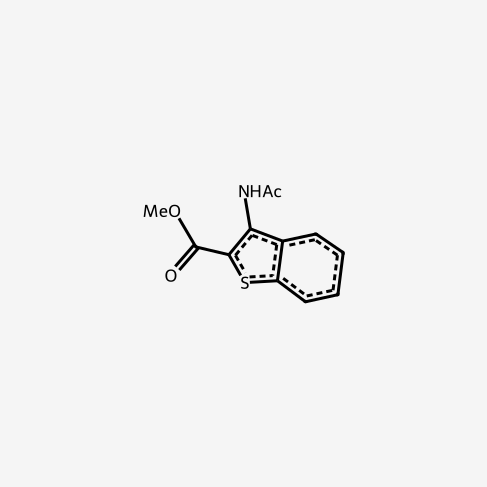 COC(=O)c1sc2ccccc2c1NC(C)=O